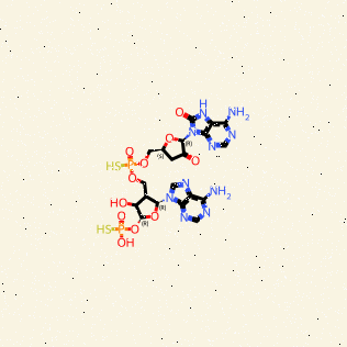 Nc1ncnc2c1ncn2[C@@H]1O[C@H](OP(=O)(O)S)C(O)C1COP(=O)(S)OC[C@@H]1CC(=O)[C@H](n2c(=O)[nH]c3c(N)ncnc32)O1